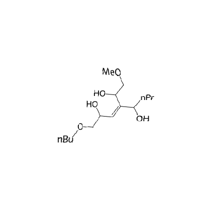 CCCCOCC(O)C=C(C(O)CCC)C(O)COC